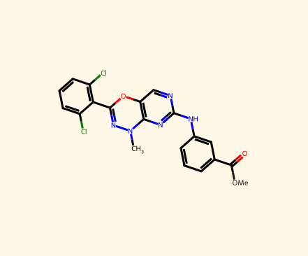 COC(=O)c1cccc(Nc2ncc3c(n2)N(C)N=C(c2c(Cl)cccc2Cl)O3)c1